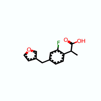 CC(C(=O)O)c1ccc(Cc2ccoc2)cc1F